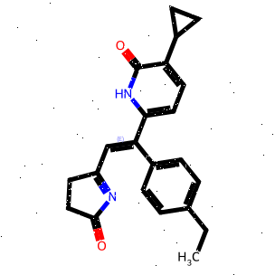 CCc1ccc(/C(=C\C2=NC(=O)CC2)c2ccc(C3CC3)c(=O)[nH]2)cc1